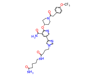 NC(=O)CCCCNC(=O)CCCn1cnc(-c2cnc(OC3CCN(C(=O)Cc4ccc(OC(F)(F)F)cc4)CC3)c(C(N)=O)c2)c1